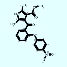 COC(=O)c1c(C)[nH]c(C)c1C(=O)c1ccccc1Sc1ccc([N+](=O)[O-])cc1